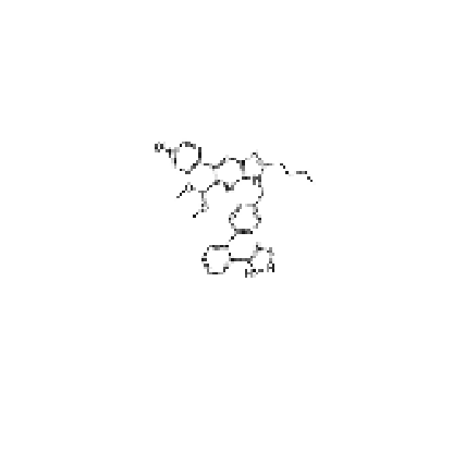 CCCCc1nc2cc(-c3cc[n+]([O-])cc3)c(C(OC)OC)nc2n1Cc1ccc(-c2ccccc2-c2nnn[nH]2)cc1